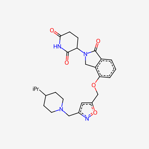 CC(C)C1CCN(Cc2cc(COc3cccc4c3CN(C3CCC(=O)NC3=O)C4=O)on2)CC1